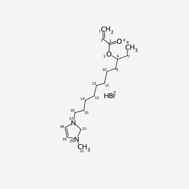 Br.C=CC(=O)OC(CC)CCCCCCCCN1C=CN(C)C1